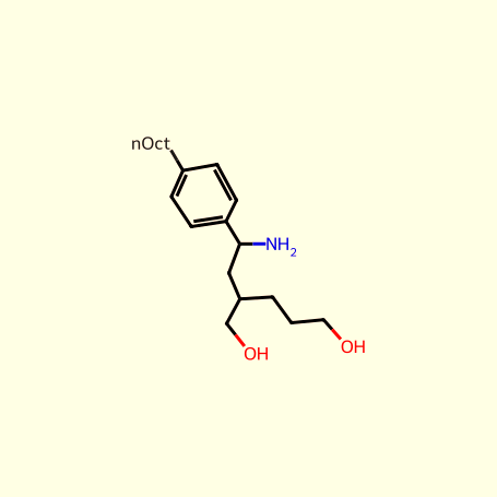 CCCCCCCCc1ccc(C(N)CC(CO)CCCO)cc1